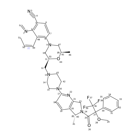 C=Nc1c(C#N)ccc(N2C[C@H](CN3CCN(c4ccc5c(n4)CN(C(=O)C(OC)(c4ccccc4)C(F)(F)F)[C@@H]5C)CC3)O[C@H](C)C2)c1/C=C\C